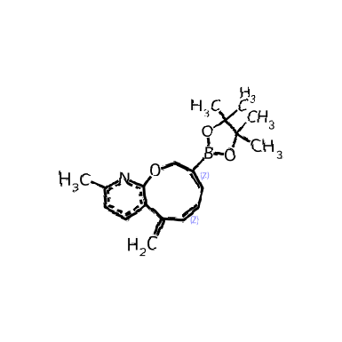 C=C1/C=C\C=C(\B2OC(C)(C)C(C)(C)O2)COc2nc(C)ccc21